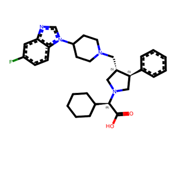 O=C(O)[C@@H](C1CCCCC1)N1C[C@H](CN2CCC(n3cnc4cc(F)ccc43)CC2)[C@@H](c2ccccc2)C1